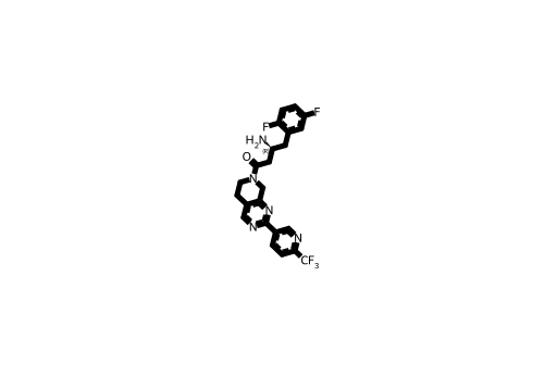 N[C@@H](CC(=O)N1CCc2cnc(-c3ccc(C(F)(F)F)nc3)nc2C1)Cc1cc(F)ccc1F